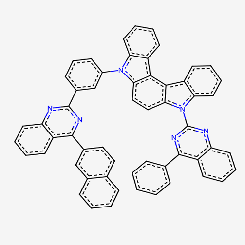 c1ccc(-c2nc(-n3c4ccccc4c4c5c6ccccc6n(-c6cccc(-c7nc(-c8ccc9ccccc9c8)c8ccccc8n7)c6)c5ccc43)nc3ccccc23)cc1